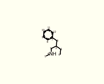 CCC(CNC)Cc1ccccc1